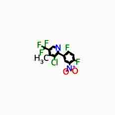 Cc1c(C(F)(F)F)cnc(-c2cc([N+](=O)[O-])c(F)cc2F)c1Cl